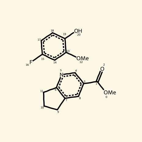 COC(=O)c1cnc2c(c1)CCC2.COc1cc(F)ccc1O